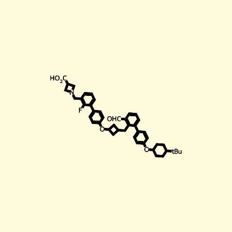 CC(C)(C)C1CCC(Oc2ccc(-c3cccc(C=O)c3CC3CC(Oc4ccc(-c5cccc(CN6CC(C(=O)O)C6)c5F)cc4)C3)cc2)CC1